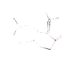 CC(C)=C1C(=O)CCC(C(C)(C)C)C1O[SiH](C)C